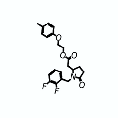 Cc1ccc(OCCOC(=O)CC2CCC(=O)N2Cc2cccc(F)c2F)cc1